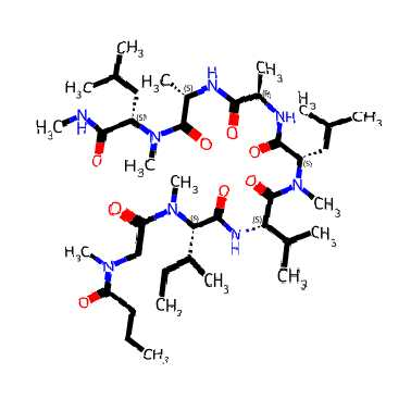 CCCC(=O)N(C)CC(=O)N(C)[C@H](C(=O)N[C@H](C(=O)N(C)[C@@H](CC(C)C)C(=O)N[C@H](C)C(=O)N[C@@H](C)C(=O)N(C)[C@@H](CC(C)C)C(=O)NC)C(C)C)C(C)CC